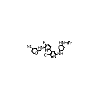 CCCNC1CCC(Nc2cc(-c3ccc(F)c(NCC4CC(C#N)CCO4)n3)c(Cl)cn2)CC1